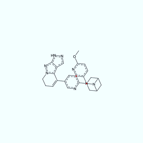 COc1ccc(CN2C3CC2CN(c2ccc(C4=CCCn5nc6[nH]ncc6c54)cn2)C3)cn1